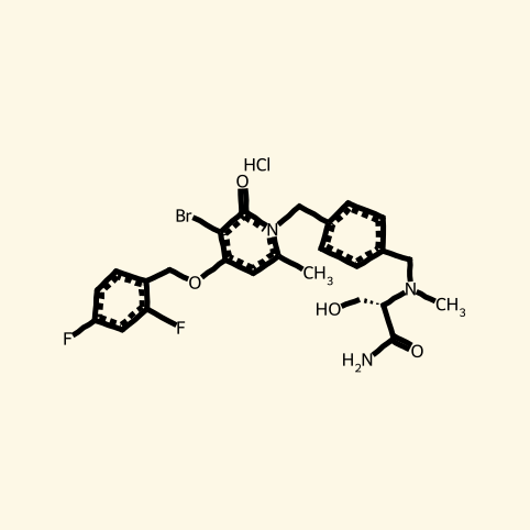 Cc1cc(OCc2ccc(F)cc2F)c(Br)c(=O)n1Cc1ccc(CN(C)[C@@H](CO)C(N)=O)cc1.Cl